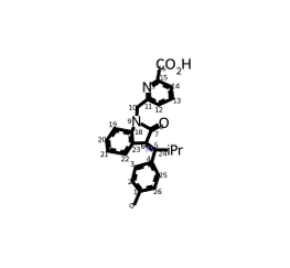 Cc1ccc(/C(=C2/C(=O)N(Cc3cccc(C(=O)O)n3)c3ccccc32)C(C)C)cc1